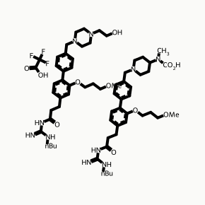 CCCCNC(=N)NC(=O)CCc1ccc(-c2ccc(CN3CCC(N(C)C(=O)O)CC3)cc2)c(OCCCOC)c1.CCCCNC(=N)NC(=O)CCc1ccc(-c2ccc(CN3CCN(CCO)CC3)cc2)c(OCCCOC)c1.O=C(O)C(F)(F)F